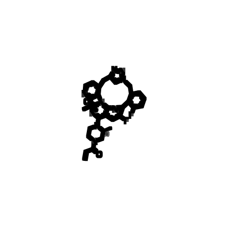 C=CC(=O)N1CCN(c2nc(=O)n3c4nc(c(F)cc24)-c2c(F)cccc2Cn2cc(nn2)Cc2ccnc(C(C)C)c2-3)[C@@H](C)C1